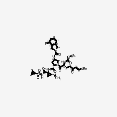 C=C[C@@H]1C[C@]1(NC(=O)[C@@H]1C[C@@H](OC(=O)N2Cc3cccc(F)c3C2)CN1C(=O)[C@H](CCC(=O)/C=C/C(C)(C)C)NC(=O)OC(C)(C)C)C(=O)NS(=O)(=O)C1CC1